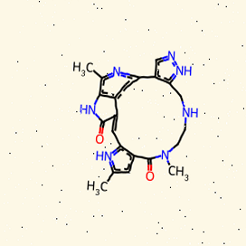 Cc1cc2c([nH]1)/C=C1\C(=O)Nc3c1cc(nc3C)-c1cn[nH]c1CNCCN(C)C2=O